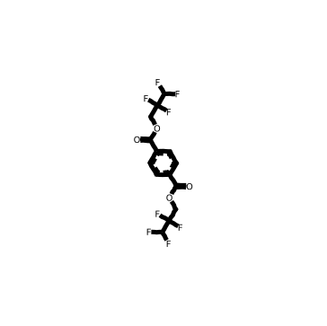 O=C(OCC(F)(F)C(F)F)c1ccc(C(=O)OCC(F)(F)C(F)F)cc1